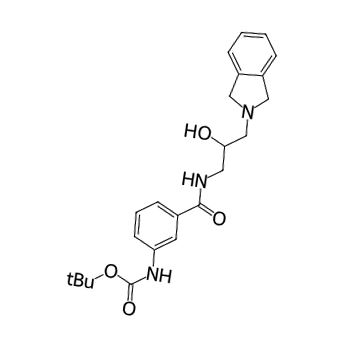 CC(C)(C)OC(=O)Nc1cccc(C(=O)NCC(O)CN2Cc3ccccc3C2)c1